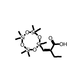 CCC(=C[Si]1(C)O[Si](C)(C)O[Si](C)(C)O[Si](C)(C)O1)C(=O)O